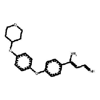 N=C/C=C(\N)c1ccc(Oc2ccc(OC3CCOCC3)cc2)cc1